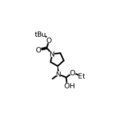 CCOC(O)N(C)[C@@H]1CCN(C(=O)OC(C)(C)C)C1